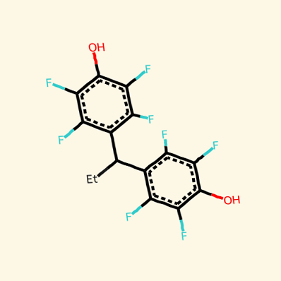 CCC(c1c(F)c(F)c(O)c(F)c1F)c1c(F)c(F)c(O)c(F)c1F